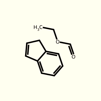 C1=Cc2ccccc2C1.CCOC=O